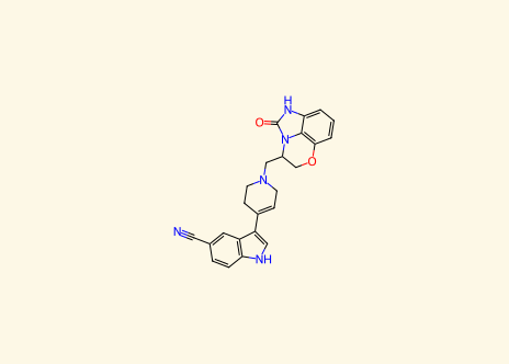 N#Cc1ccc2[nH]cc(C3=CCN(CC4COc5cccc6[nH]c(=O)n4c56)CC3)c2c1